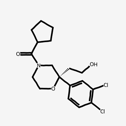 O=C(C1CCCC1)N1CCO[C@](CCO)(c2ccc(Cl)c(Cl)c2)C1